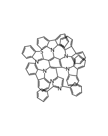 c1ccc(-c2cc(-c3c(-n4c5ccccc5c5ccccc54)c(-c4nc5ccccc5s4)c(-n4c5ccccc5c5ccccc54)c(-n4c5ccccc5c5ccccc54)c3-n3c4ccccc4c4ccccc43)nc(-c3ccccc3)n2)cc1